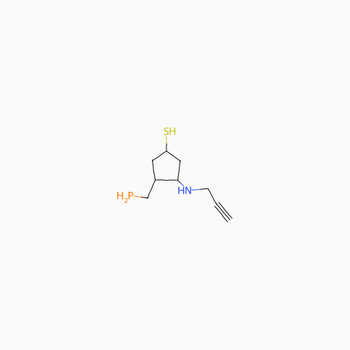 C#CCNC1CC(S)CC1CP